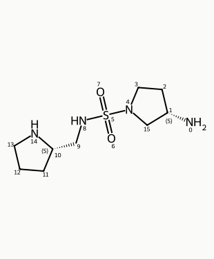 N[C@H]1CCN(S(=O)(=O)NC[C@@H]2CCCN2)C1